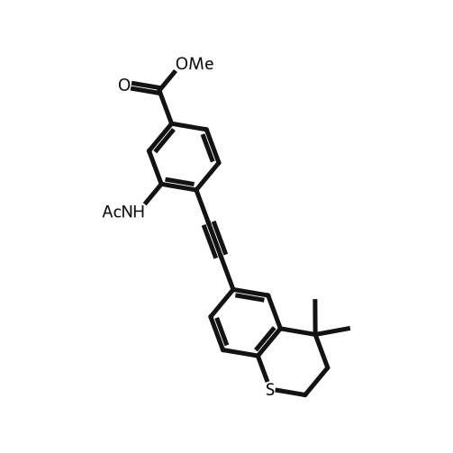 COC(=O)c1ccc(C#Cc2ccc3c(c2)C(C)(C)CCS3)c(NC(C)=O)c1